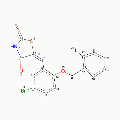 O=C1NC(=S)S/C1=C/c1cc(Br)ccc1OCc1ccccc1I